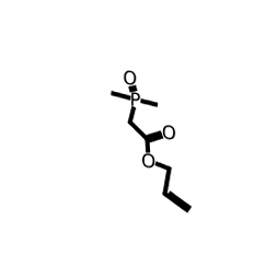 C=CCOC(=O)CP(C)(C)=O